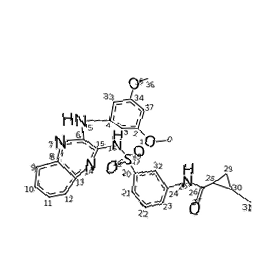 COc1cc(Nc2nc3ccccc3nc2NS(=O)(=O)c2cccc(NC(=O)C3CC3C)c2)cc(OC)c1